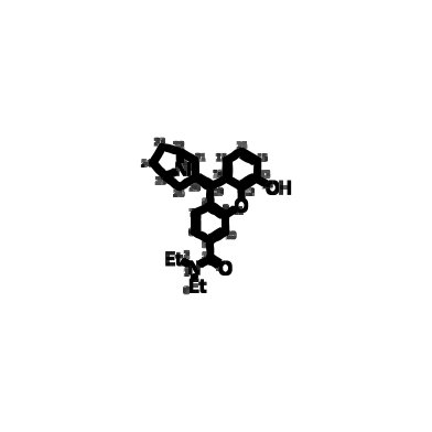 CCN(CC)C(=O)c1ccc2c(c1)Oc1c(O)cccc1C2=C1CC2CCC(C1)N2